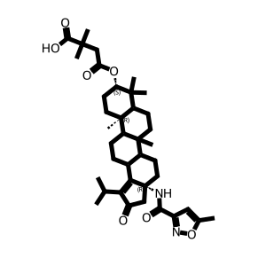 Cc1cc(C(=O)N[C@@]23CCC4C(CCC5C4(C)CCC4C(C)(C)[C@@H](OC(=O)CC(C)(C)C(=O)O)CC[C@]54C)C2=C(C(C)C)C(=O)C3)no1